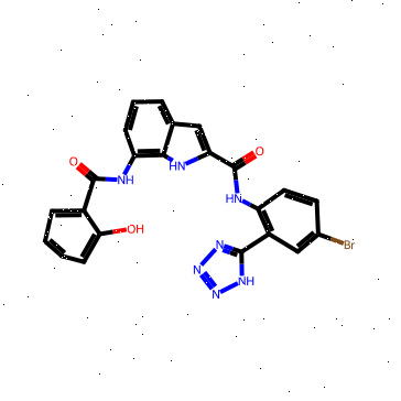 O=C(Nc1ccc(Br)cc1-c1nnn[nH]1)c1cc2cccc(NC(=O)c3ccccc3O)c2[nH]1